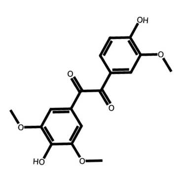 COc1cc(C(=O)C(=O)c2cc(OC)c(O)c(OC)c2)ccc1O